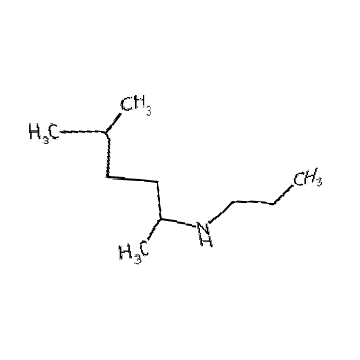 CCCNC(C)CCC(C)C